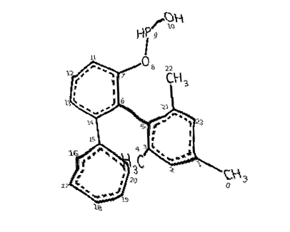 Cc1cc(C)c(-c2c(OPO)cccc2-c2ccccc2)c(C)c1